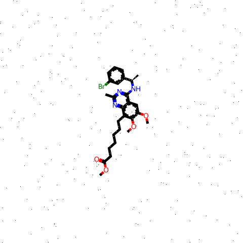 COC(=O)CCCCCCc1c(OC)c(OC)cc2c(N[C@H](C)c3cccc(Br)c3)nc(C)nc12